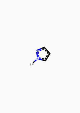 [Ir+2][n]1cccn1